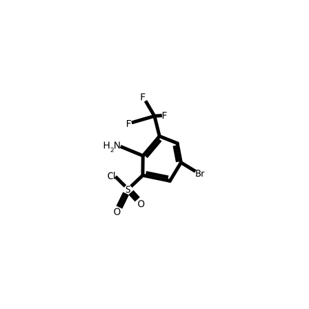 Nc1c(C(F)(F)F)cc(Br)cc1S(=O)(=O)Cl